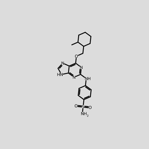 CC1CCCCC1COc1nc(Nc2ccc(S(N)(=O)=O)cc2)nc2[nH]cnc12